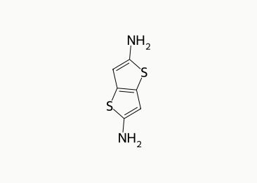 Nc1cc2sc(N)cc2s1